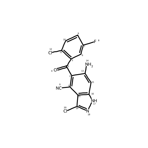 N#Cc1c(C(=O)c2cc(F)ccc2Cl)c(N)cc2[nH]nc(Cl)c12